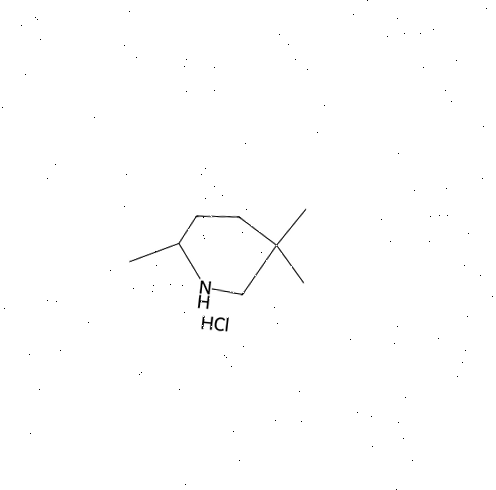 CC1CCC(C)(C)CN1.Cl